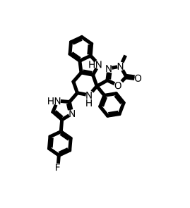 Cn1nc(C2(c3ccccc3)NC(c3nc(-c4ccc(F)cc4)c[nH]3)Cc3c2[nH]c2ccccc32)oc1=O